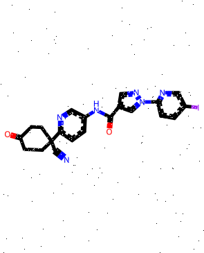 N#CC1(c2ccc(NC(=O)c3cnn(-c4ccc(I)cn4)c3)cn2)CCC(=O)CC1